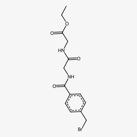 CCOC(=O)CNC(=O)CNC(=O)c1ccc(CBr)cc1